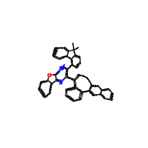 CC1(C)c2ccccc2-c2c(-c3nc4oc5ccccc5c4nc3C3CCc4cc5ccccc5cc4-c4ccccc43)cccc21